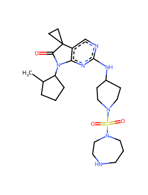 CC1CCCC1N1C(=O)C2(CC2)c2cnc(NC3CCN(S(=O)(=O)N4CCCNCC4)CC3)nc21